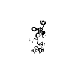 [C-]#[N+]N=C1N(Cc2cccnc2)C[C@@H](c2ccccc2)N1C1CCN(C(C)CCNC(=O)c2c(C)ncnc2C)CC1